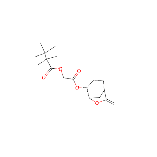 C=C1OC2CC1CCC2OC(=O)COC(=O)C(C)(C)C(C)(C)C